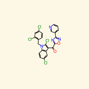 O=C(c1nc(-c2cccnc2)no1)c1c(Cl)n(Cc2ccc(Cl)cc2Cl)c2ccc(Cl)cc12